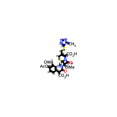 COc1cc(C(C(=O)O)C(=O)N[C@]2(OC)C(=O)N3C(C(=O)O)=C(CSc4nnnn4C)CS[C@@H]32)ccc1OC(C)=O